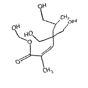 CC(=CC(CO)(CO)C(C)CO)C(=O)OCO